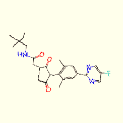 Cc1cc(-c2ncc(F)cn2)cc(C)c1C1C(=O)CC(CC(=O)NCC(C)(C)C)C1=O